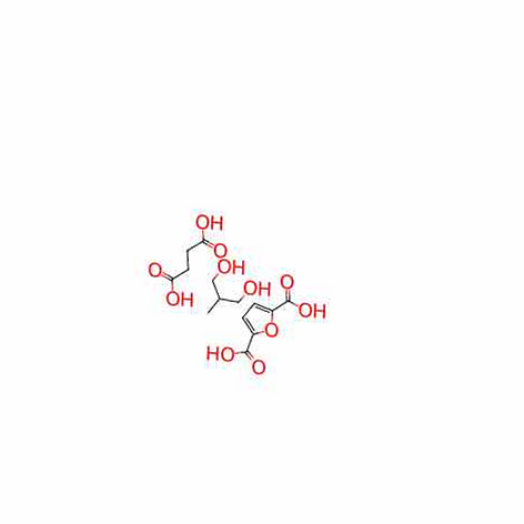 CC(CO)CO.O=C(O)CCC(=O)O.O=C(O)c1ccc(C(=O)O)o1